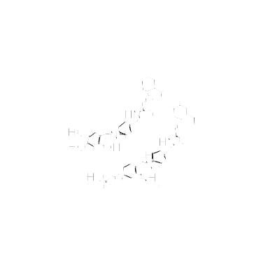 CC1CCC(C(C)C)C(OCC(=O)NCc2ccc(NCc3cc(O)c(O)cc3O)cc2)C1.CC1CCC(C(C)C)C(OCC(=O)NCc2ccc(NCc3ccc(OCC(=O)O)cc3N)cc2)C1